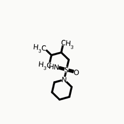 CC(C)C(C)CS(=N)(=O)N1CCCCC1